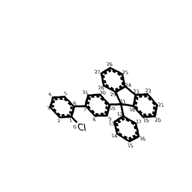 Clc1ccccc1-c1ccc(C2(c3ccccc3)c3ccccc3-c3ccccc32)cc1